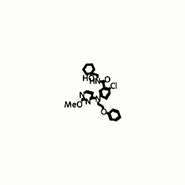 COc1nccc(N(CCOc2ccccc2)c2ccc(Cl)c(C(=O)NCC3(O)CCCCC3)c2)n1